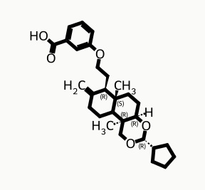 C=C1CCC2[C@]3(C)CO[C@@H](C4CCCC4)O[C@@H]3CC[C@@]2(C)[C@@H]1CCOc1cccc(C(=O)O)c1